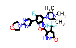 C[C@H]1CN(c2cc(F)c(-c3cnc(N4CCOCC4)nc3)cc2NC(=O)c2c[nH]c(=O)cc2C(F)(F)F)C[C@H](C)N1C